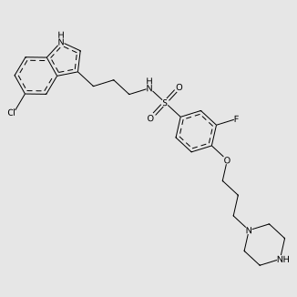 O=S(=O)(NCCCc1c[nH]c2ccc(Cl)cc12)c1ccc(OCCCN2CCNCC2)c(F)c1